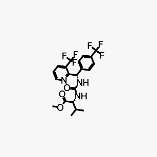 COC(=O)[C@@H](NC(=O)N[C@@H](c1ccc(C(F)(F)F)cc1)c1ncccc1C(F)(F)F)C(C)C